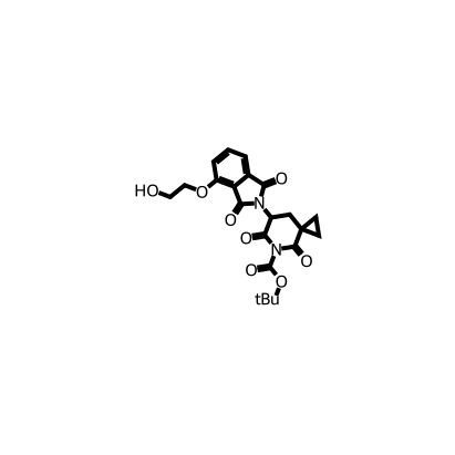 CC(C)(C)OC(=O)N1C(=O)C(N2C(=O)c3cccc(OCCO)c3C2=O)CC2(CC2)C1=O